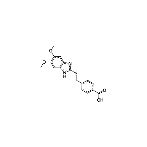 COc1cc2nc(SCc3ccc(C(=O)O)cc3)[nH]c2cc1OC